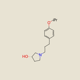 CC(C)Oc1ccc(CCCN2CC[C@H](O)C2)cc1